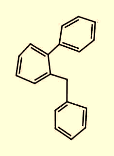 [c]1ccc(-c2ccccc2Cc2ccccc2)cc1